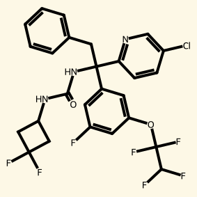 O=C(NC1CC(F)(F)C1)NC(Cc1ccccc1)(c1cc(F)cc(OC(F)(F)C(F)F)c1)c1ccc(Cl)cn1